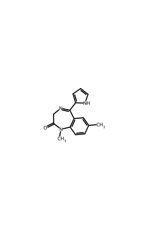 Cc1ccc2c(c1)C(c1ccc[nH]1)=NCC(=O)N2C